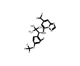 CC(C)(O)[C@@H](Nc1cc(C(F)F)cc2ncnn12)c1ccc(OC(F)(F)F)cc1F